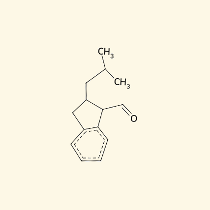 CC(C)CC1Cc2ccccc2C1C=O